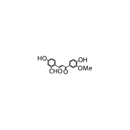 COc1cc(C(=O)C=Cc2ccc(O)cc2C=O)ccc1O